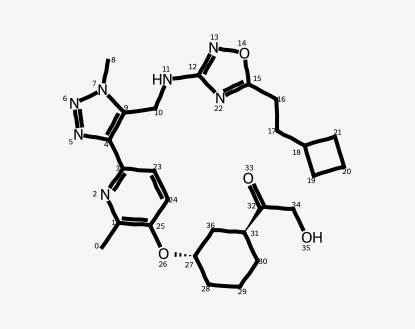 Cc1nc(-c2nnn(C)c2CNc2noc(CCC3CCC3)n2)ccc1O[C@H]1CCC[C@H](C(=O)CO)C1